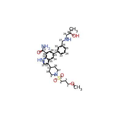 COCCCS(=O)(=O)N1CCC(c2c[nH]c3c(C(N)=O)cc(-c4cccc(CNC[C@H](C)O)c4)cc23)CC1